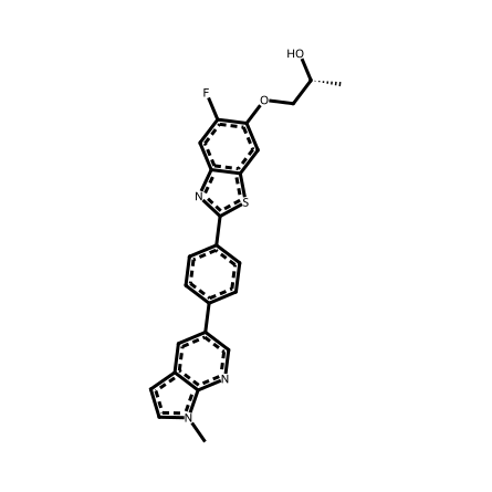 C[C@@H](O)COc1cc2sc(-c3ccc(-c4cnc5c(ccn5C)c4)cc3)nc2cc1F